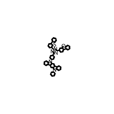 c1ccc(-n2c3ccccc3c3cc4c(cc32)c2ccccc2n4-c2ccc(-c3nc(-c4ccc5c(c4)oc4ccccc45)nc(-c4cccc5c4sc4ccccc45)n3)cc2)cc1